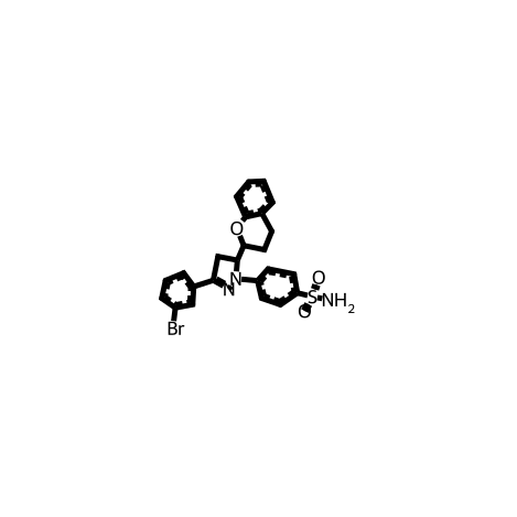 NS(=O)(=O)c1ccc(N2N=C(c3cccc(Br)c3)CC2C2CCc3ccccc3O2)cc1